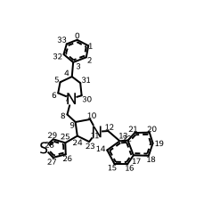 c1ccc(C2CCN(CC3CN(Cc4cccc5ccccc45)CC3c3ccsc3)CC2)cc1